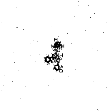 CN1C(=O)C=CCC1CCS(=O)(=O)N[C@@H](Cc1coc2ccccc12)B1O[C@@H]2C[C@@H]3C[C@@H](C3(C)C)[C@]2(C)O1